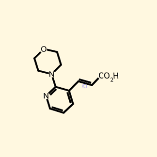 O=C(O)/C=C/c1cccnc1N1CCOCC1